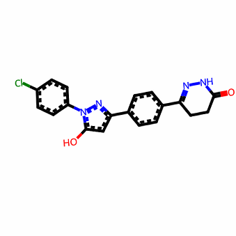 O=C1CCC(c2ccc(-c3cc(O)n(-c4ccc(Cl)cc4)n3)cc2)=NN1